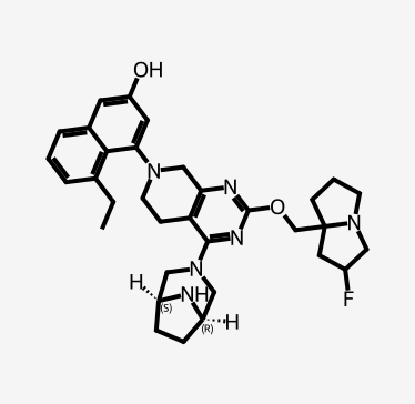 CCc1cccc2cc(O)cc(N3CCc4c(nc(OCC56CCCN5CC(F)C6)nc4N4C[C@H]5CC[C@@H](C4)N5)C3)c12